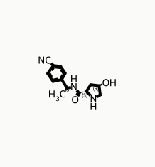 C[C@H](NC(=O)[C@@H]1C[C@@H](O)CN1)c1ccc(C#N)cc1